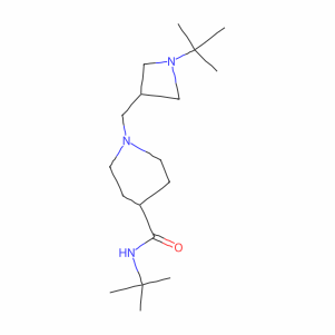 CC(C)(C)NC(=O)C1CCN(CC2CN(C(C)(C)C)C2)CC1